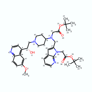 COc1ccc2nccc([C@@H](O)CN3CCC(N(CC(=O)OC(C)(C)C)Cc4cc5cccnc5n4CC(=O)OC(C)(C)C)CC3)c2c1